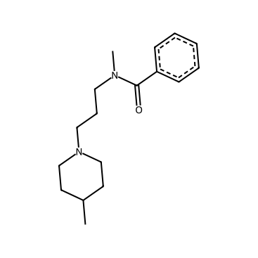 CC1CCN(CCCN(C)C(=O)c2ccccc2)CC1